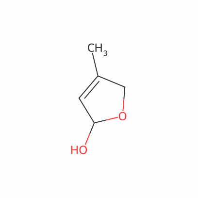 CC1=CC(O)OC1